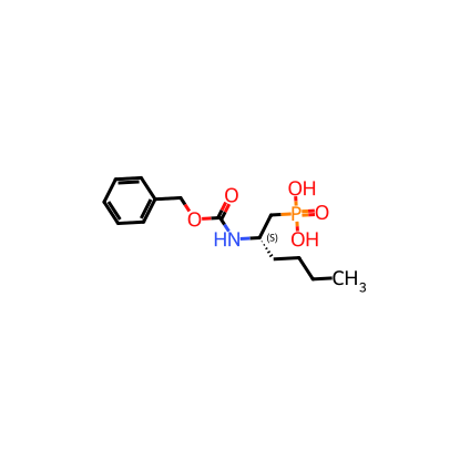 CCCC[C@@H](CP(=O)(O)O)NC(=O)OCc1ccccc1